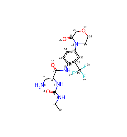 CCNC(=O)N[C@H](CN)C(=O)Nc1ccc(N2CCOCC2=O)cc1C(F)(F)F